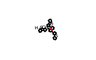 CC1(C)c2ccccc2-c2ccc(N(c3ccc(-c4ccc5sc6ccccc6c5c4)cc3)c3ccc4c(oc5ccccc54)c3-c3ccccc3)cc21